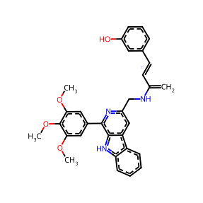 C=C(/C=C/c1cccc(O)c1)NCc1cc2c([nH]c3ccccc32)c(-c2cc(OC)c(OC)c(OC)c2)n1